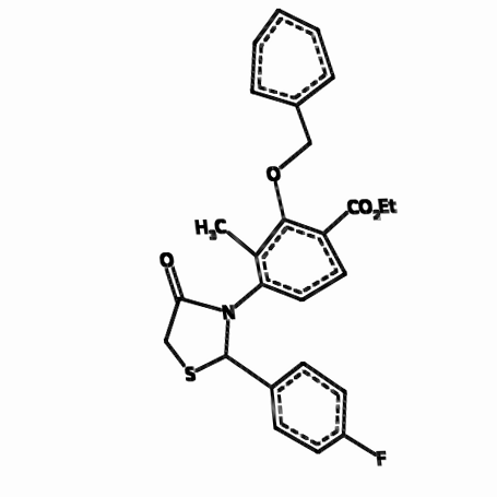 CCOC(=O)c1ccc(N2C(=O)CSC2c2ccc(F)cc2)c(C)c1OCc1ccccc1